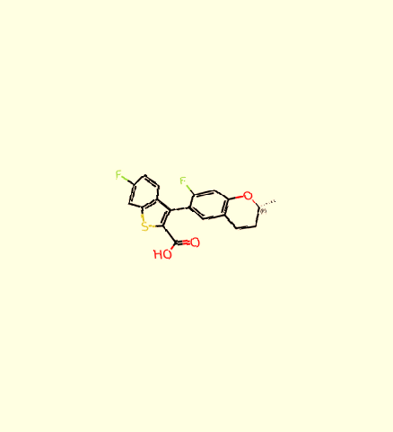 C[C@@H]1CCc2cc(-c3c(C(=O)O)sc4cc(F)ccc34)c(F)cc2O1